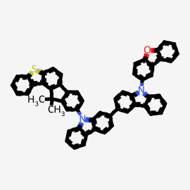 CC1(C)c2cc(-n3c4ccccc4c4ccc(-c5ccc6c(c5)c5ccccc5n6-c5ccc6oc7ccccc7c6c5)cc43)ccc2-c2ccc3sc4ccccc4c3c21